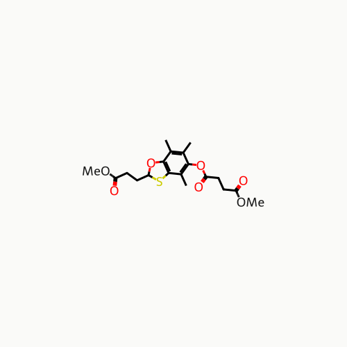 COC(=O)CCC(=O)Oc1c(C)c(C)c2c(c1C)SC(CCC(=O)OC)O2